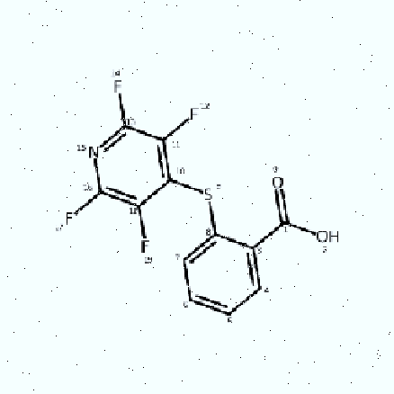 O=C(O)c1ccccc1Sc1c(F)c(F)nc(F)c1F